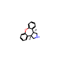 c1ccc2c(c1)Oc1ccccc1[C@H]1CNC[C@H]21